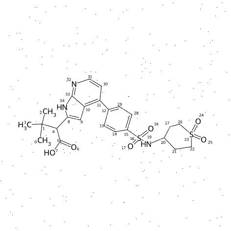 CC(C)(C)C(C(=O)O)c1cc2c(-c3ccc(S(=O)(=O)NC4CCS(=O)(=O)CC4)cc3)ccnc2[nH]1